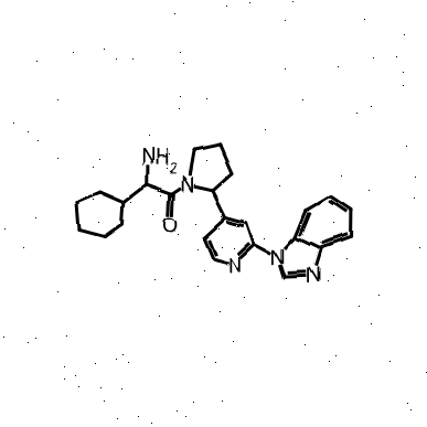 NC(C(=O)N1CCCC1c1ccnc(-n2cnc3ccccc32)c1)C1CCCCC1